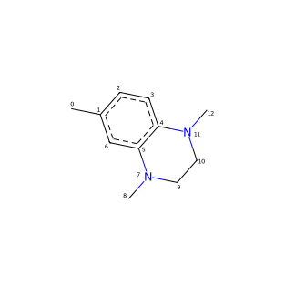 Cc1ccc2c(c1)N(C)CCN2C